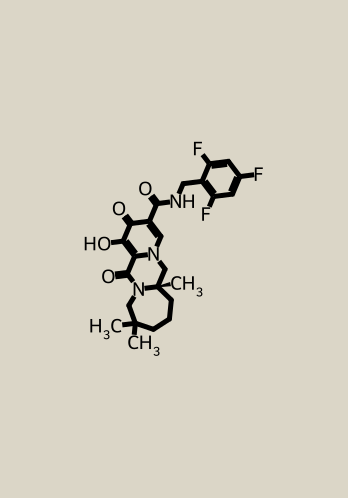 CC1(C)CCC[C@@]2(C)Cn3cc(C(=O)NCc4c(F)cc(F)cc4F)c(=O)c(O)c3C(=O)N2C1